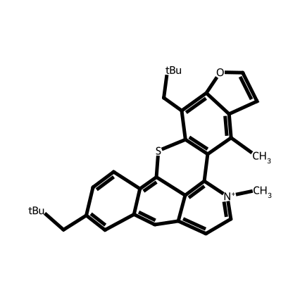 Cc1c2c(c(CC(C)(C)C)c3occc13)Sc1c3ccc(CC(C)(C)C)cc3cc3cc[n+](C)c-2c13